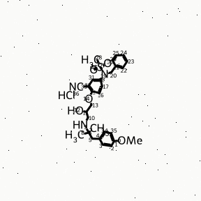 COc1ccc(CC(C)(C)NCC(O)COc2ccc(N(Cc3ccccc3)S(C)(=O)=O)cc2C#N)cc1.Cl